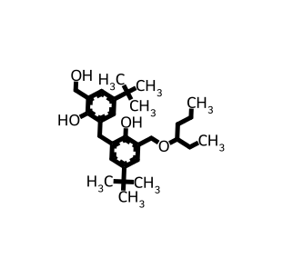 CCCC(CC)OCc1cc(C(C)(C)C)cc(Cc2cc(C(C)(C)C)cc(CO)c2O)c1O